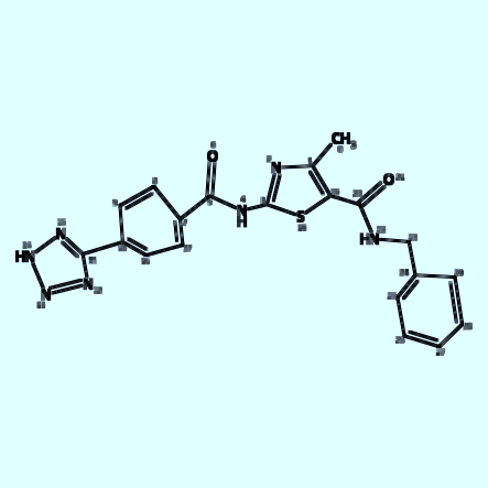 Cc1nc(NC(=O)c2ccc(-c3nn[nH]n3)cc2)sc1C(=O)NCc1ccccc1